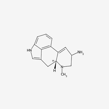 CN1CC(N)C=C2c3cccc4[nH]cc(c34)C[C@H]21